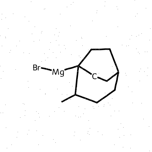 CC1CCC2CC[C]1([Mg][Br])CC2